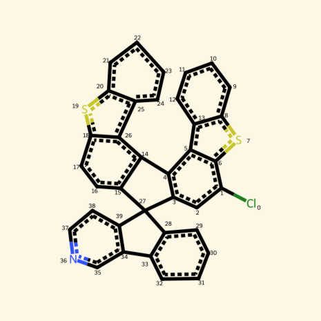 Clc1cc2c(c3c1sc1ccccc13)-c1c(ccc3sc4ccccc4c13)C21c2ccccc2-c2cnccc21